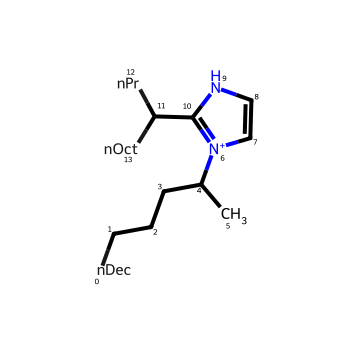 CCCCCCCCCCCCCC(C)[n+]1cc[nH]c1C(CCC)CCCCCCCC